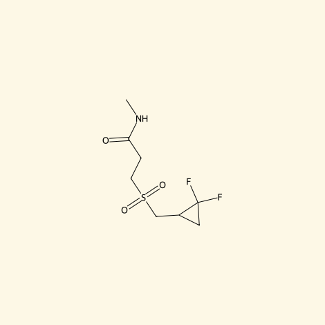 CNC(=O)CCS(=O)(=O)CC1CC1(F)F